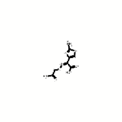 NC(=S)CO/N=C(\C(=O)O)c1csc(N)n1